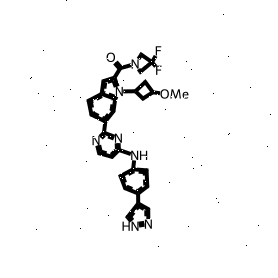 COC1CC(n2c(C(=O)N3CC(F)(F)C3)cc3ccc(-c4nccc(Nc5ccc(-c6cn[nH]c6)cc5)n4)cc32)C1